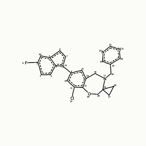 Fc1ccc2c(ccn2-c2cc(Cl)c3c(c2)CN(Cc2cncnc2)C2(CC2)CO3)c1